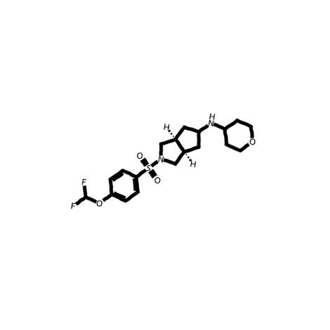 O=S(=O)(c1ccc(OC(F)F)cc1)N1C[C@H]2CC(NC3CCOCC3)C[C@H]2C1